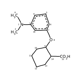 CN(C)c1cccc(OC2CCCCC2C(=O)O)c1